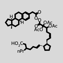 CCCC(CCC=C[C@H]1CCC[C@@H]1C/C=C\CC(OC(C)=O)C(OC(C)=O)(OC(C)=O)C(=O)OOC(=O)Cc1ccc2c(c1)CCC1[C@@H]2CC[C@]2(C)CCC[C@@H]12)CC(=O)O